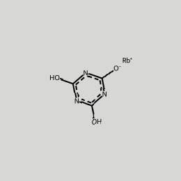 [O-]c1nc(O)nc(O)n1.[Rb+]